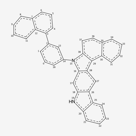 c1cc(-c2cccc3ccccc23)cc(-n2c3cc4[nH]c5ccccc5c4cc3c3c4ccccc4ccc32)c1